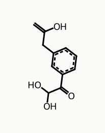 C=C(O)Cc1cccc(C(=O)C(O)O)c1